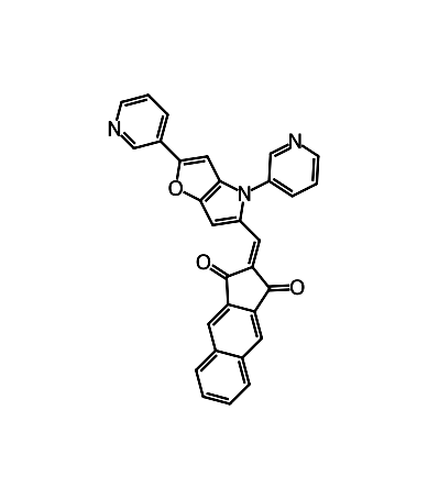 O=C1C(=Cc2cc3oc(-c4cccnc4)cc3n2-c2cccnc2)C(=O)c2cc3ccccc3cc21